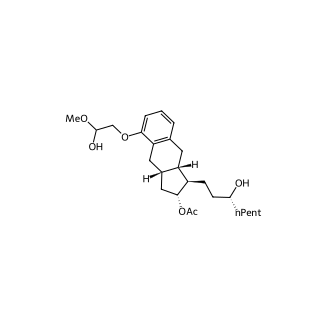 CCCCC[C@@H](O)CC[C@@H]1[C@H]2Cc3cccc(OCC(O)OC)c3C[C@H]2C[C@H]1OC(C)=O